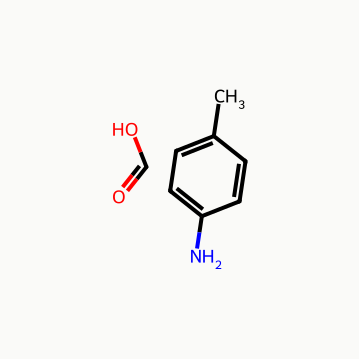 Cc1ccc(N)cc1.O=CO